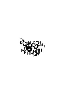 CN1C(C)(C)CC(Nc2nc(Nc3ccc(OC(C)(C)CN4CCOCC4)c(OC(F)F)c3)ncc2F)CC1(C)C